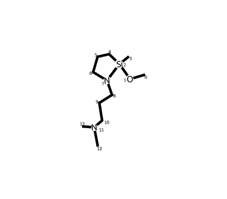 CO[Si]1(C)CCCN1CCCN(C)C